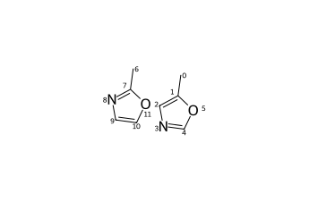 Cc1cnco1.Cc1ncco1